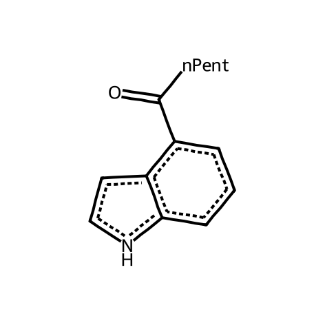 CCCCCC(=O)c1cccc2[nH]ccc12